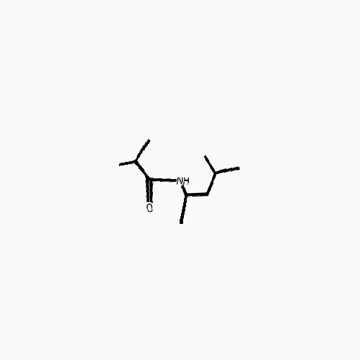 CC(C)CC(C)NC(=O)C(C)C